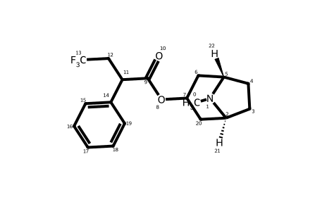 CN1[C@H]2CC[C@H]1CC(OC(=O)C(CC(F)(F)F)c1ccccc1)C2